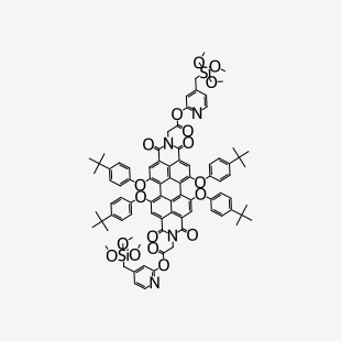 CO[Si](Cc1ccnc(OC(=O)CN2C(=O)c3cc(Oc4ccc(C(C)(C)C)cc4)c4c5c(Oc6ccc(C(C)(C)C)cc6)cc6c7c(cc(Oc8ccc(C(C)(C)C)cc8)c(c8c(Oc9ccc(C(C)(C)C)cc9)cc(c3c48)C2=O)c75)C(=O)N(CC(=O)Oc2cc(C[Si](OC)(OC)OC)ccn2)C6=O)c1)(OC)OC